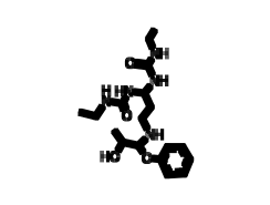 CCNC(=O)NC(CCNC(Oc1ccccc1)C(C)O)NC(=O)NCC